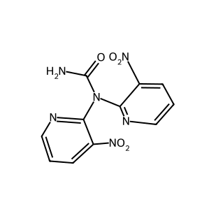 NC(=O)N(c1ncccc1[N+](=O)[O-])c1ncccc1[N+](=O)[O-]